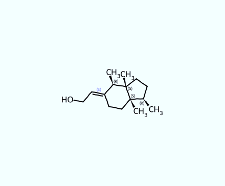 C[C@@H]1CC[C@@]2(C)[C@H](C)/C(=C/CO)CC[C@@]12C